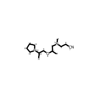 CC(CN(C)CCC#N)OCC(C)N1CCCC1